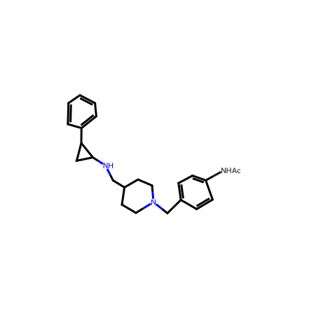 CC(=O)Nc1ccc(CN2CCC(CNC3CC3c3ccccc3)CC2)cc1